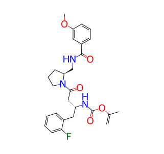 C=C(C)OC(=O)N[C@@H](CC(=O)N1CCC[C@H]1CNC(=O)c1cccc(OC)c1)Cc1ccccc1F